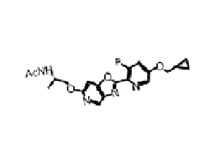 CC(=O)N[C@@H](C)COc1cc2oc(-c3ncc(OCC4CC4)cc3F)nc2cn1